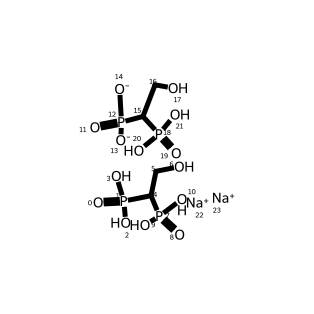 O=P(O)(O)C(CO)P(=O)(O)O.O=P([O-])([O-])C(CO)P(=O)(O)O.[Na+].[Na+]